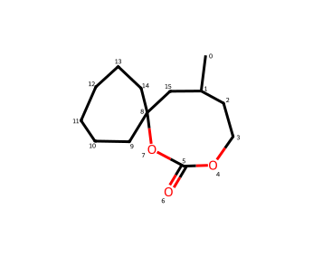 CC1CCOC(=O)OC2(CCCCCC2)C1